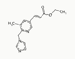 CCOC(=O)/C=C/c1cnc(Cn2ccnc2)c(C)c1